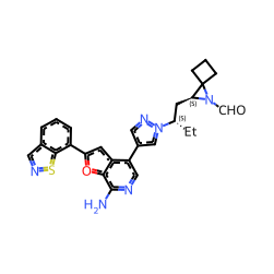 CC[C@@H](C[C@@H]1N(C=O)C12CCC2)n1cc(-c2cnc(N)c3oc(-c4cccc5cnsc45)cc23)cn1